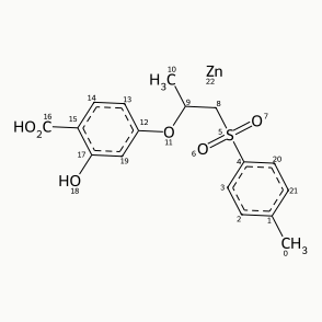 Cc1ccc(S(=O)(=O)CC(C)Oc2ccc(C(=O)O)c(O)c2)cc1.[Zn]